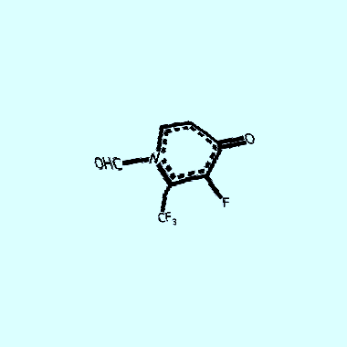 O=Cn1ccc(=O)c(F)c1C(F)(F)F